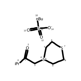 CC(C)C(=O)C[S+]1CCSCC1.CCCCS(=O)(=O)[O-]